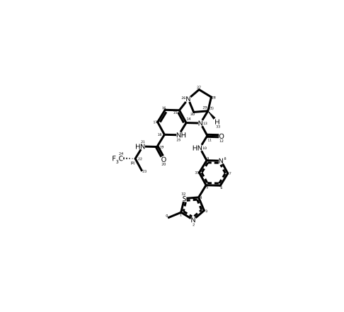 Cc1ncc(-c2ccnc(NC(=O)N3C4=C(C=CC(C(=O)N[C@H](C)C(F)(F)F)N4)N4CC[C@H]3C4)c2)s1